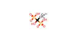 CC(O)(P(=O)([O-])O)P(=O)([O-])O.[Cu+2]